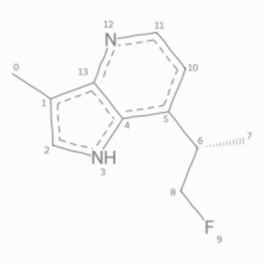 Cc1c[nH]c2c([C@H](C)CF)ccnc12